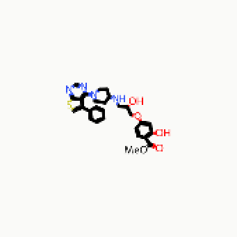 COC(=O)c1ccc(OCC(O)CNC2CCN(c3ncnc4scc(-c5ccccc5)c34)CC2)cc1O